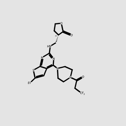 CCc1cc2c(N3CCN(C(=O)CC(F)(F)F)CC3)nc(NC[C@@H]3CCOC3=O)nc2s1